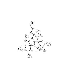 O=C(O)C(=C(CCCCCC(F)(F)F)C(CCC(F)(F)F)(CCC(F)(F)F)CCC(F)(F)F)C(CCC(F)(F)F)(CCC(F)(F)F)CCC(F)(F)F